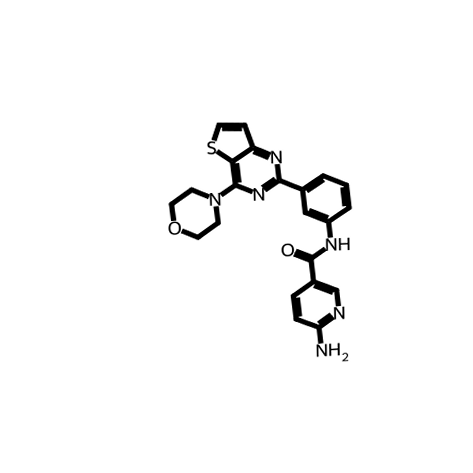 Nc1ccc(C(=O)Nc2cccc(-c3nc(N4CCOCC4)c4sccc4n3)c2)cn1